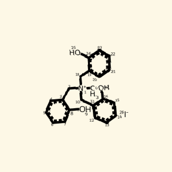 C[N+](Cc1ccccc1O)(Cc1ccccc1O)Cc1ccccc1O.[I-]